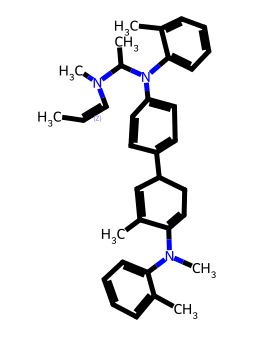 C/C=C\N(C)C(C)N(c1ccc(C2C=C(C)C(N(C)c3ccccc3C)=CC2)cc1)c1ccccc1C